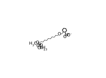 CO[Si](CCCCCCCCCCOCc1ccccc1[N+](=O)[O-])(OC)OC